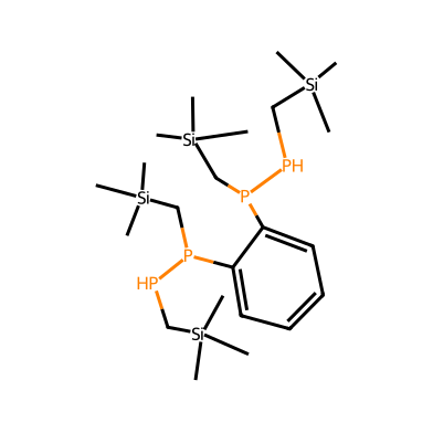 C[Si](C)(C)CPP(C[Si](C)(C)C)c1ccccc1P(C[Si](C)(C)C)PC[Si](C)(C)C